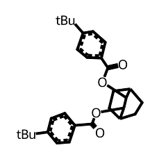 CC(C)(C)c1ccc(C(=O)OC2C3CCC(CC3)C2OC(=O)c2ccc(C(C)(C)C)cc2)cc1